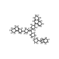 c1cc(-c2ccc(N(c3ccc(-c4ccc5c(ccc6ccccc65)c4)cc3)c3ccc(-c4cc5ccccc5c5ccccc45)cc3)cc2)cc(-c2cc3ccccc3o2)c1